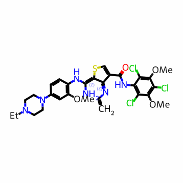 C=C/N=C1/C(C(=O)Nc2c(Cl)c(OC)c(Cl)c(OC)c2Cl)=CS/C1=C(/N)Nc1ccc(N2CCN(CC)CC2)cc1OC